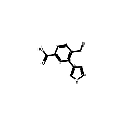 O=C(O)c1ccc(CBr)c(-c2ccoc2)c1